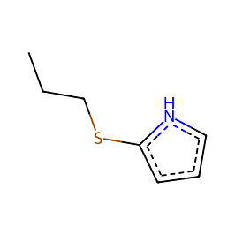 CCCSc1ccc[nH]1